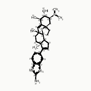 CN(C)[C@H]1C[C@@]23CC[C@]4(O2)C2CC=C(c5ccc6[nH]c(N)nc6c5)[C@@]2(C)CCC4(C#N)C=C3[C@@H](O)[C@@H]1O